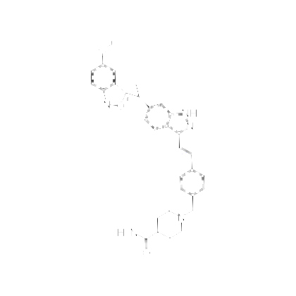 COc1ccc2c(c1)[C@]1(C[C@H]1c1ccc3c(/C=C/c4ccc(CN5CCC(C(N)=O)CC5)cc4)n[nH]c3c1)ON2